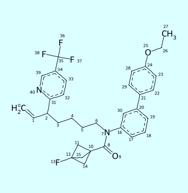 C=CC(CCCCN(C(=O)C12CC(F)(C1)C2)c1cccc(-c2ccc(OCC)cc2)c1)c1ccc(C(F)(F)F)cn1